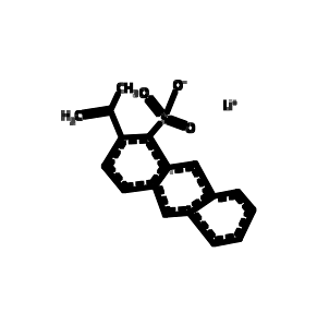 C=C(C)c1ccc2cc3ccccc3cc2c1S(=O)(=O)[O-].[Li+]